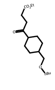 CCCCOCC1CCC(C(=O)CCC(=O)OCC)CC1